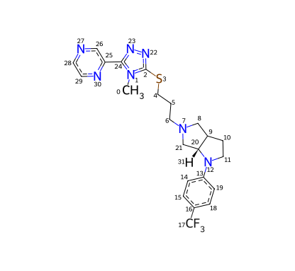 Cn1c(SCCCN2CC3CCN(c4ccc(C(F)(F)F)cc4)[C@@H]3C2)nnc1-c1cnccn1